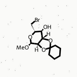 CO[C@H]1O[C@H](CBr)[C@@H](O)[C@@H]2OC3(CCCCC3)O[C@@H]12